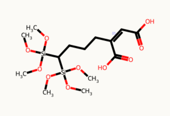 CO[Si](OC)(OC)C(CCC/C(=C/C(=O)O)C(=O)O)[Si](OC)(OC)OC